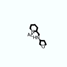 CC(=O)N1CCCCC1CNC1CCOC1